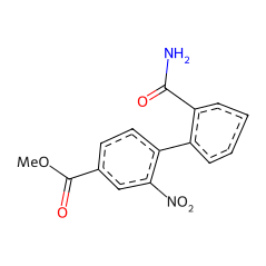 COC(=O)c1ccc(-c2ccccc2C(N)=O)c([N+](=O)[O-])c1